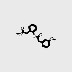 COC(=O)Cc1ccccc1OC(=O)Cc1cccc(OC)c1